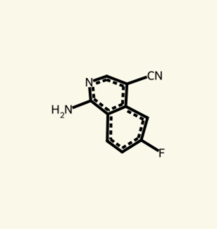 N#Cc1cnc(N)c2ccc(F)cc12